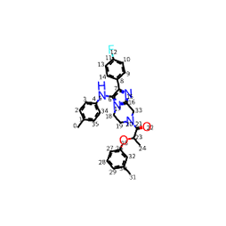 Cc1ccc(Nc2c(-c3ccc(F)cc3)nc3n2CCN(C(=O)C(C)Oc2cccc(C)c2)C3)cc1